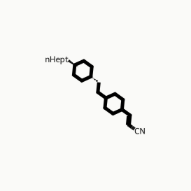 CCCCCCC[C@H]1CC[C@H](CCC2CCC(C=CC#N)CC2)CC1